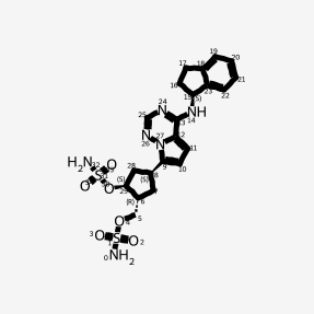 NS(=O)(=O)OC[C@H]1C[C@H](c2ccc3c(N[C@H]4CCc5ccccc54)ncnn23)C[C@@H]1OS(N)(=O)=O